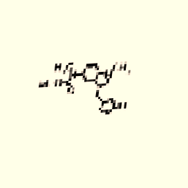 COC(=O)N(C)c1ccc2c(c1)c(Cc1c[nH]cn1)cn2C